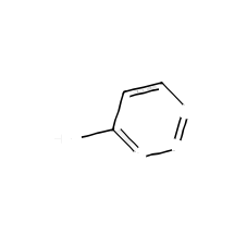 Cc1ccppp1